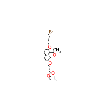 COC(=O)CCCOc1ccc2ccc(OCCCCCBr)c(C(C)=O)c2c1